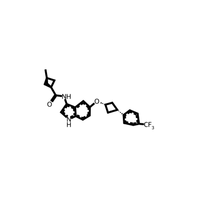 CC12CC(C(=O)Nc3c[nH]c4ccc(O[C@H]5C[C@@H](c6ccc(C(F)(F)F)cc6)C5)cc34)(C1)C2